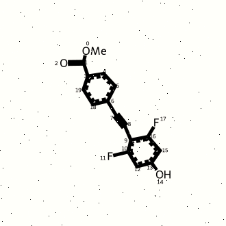 COC(=O)c1ccc(C#Cc2c(F)cc(O)cc2F)cc1